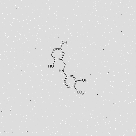 O=C(O)c1ccc(NCc2cc(O)ccc2O)cc1O